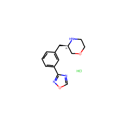 Cl.c1cc(C[C@@H]2COCCN2)cc(-c2ncon2)c1